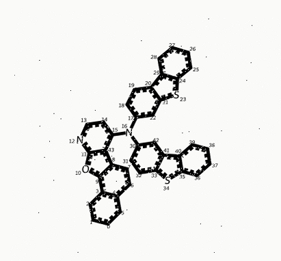 c1ccc2c(c1)ccc1c2oc2nccc(N(c3ccc4c(c3)sc3ccccc34)c3ccc4sc5ccccc5c4c3)c21